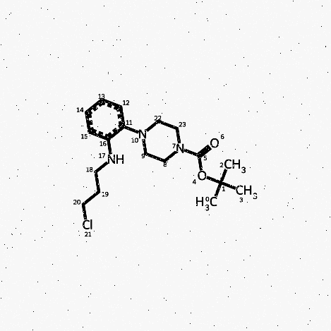 CC(C)(C)OC(=O)N1CCN(c2ccccc2NCCCCl)CC1